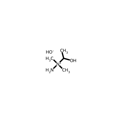 CC(O)[N+](C)(C)N.[OH-]